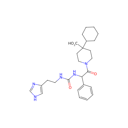 O=C(NCCc1c[nH]cn1)NC(C(=O)N1CCC(C(=O)O)(C2CCCCC2)CC1)c1ccccc1